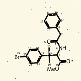 COC(=O)C(NC(=O)Cc1ccccc1)C(C)(C)c1ccc(Br)cc1